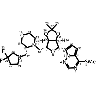 CSc1ncnn2c([C@@H]3O[C@H](CN4CCOC[C@H]4CN4CCC(F)(F)C4)[C@H]4OC(C)(C)O[C@H]43)ccc12